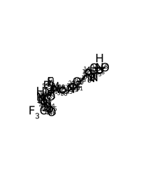 Cn1nc(C2CCC(=O)NC2=O)c2cccc(C#CCO[C@H]3CCN(C[C@H]4CC[C@H](n5cc(NC(=O)c6cnn7ccc(N8CCOC[C@H]8C(F)(F)F)nc67)c(C(F)F)n5)CC4)C[C@H]3F)c21